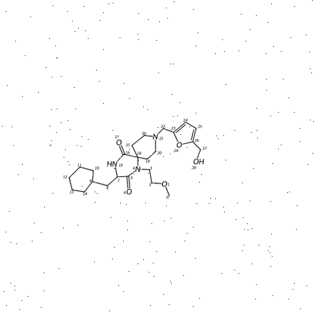 COCCN1C(=O)C(CC2CCCCC2)NC(=O)C12CCN(Cc1ccc(CO)o1)CC2